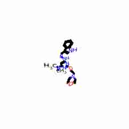 CN(C)c1cc(N/N=C\c2c[nH]c3ccccc23)nc(OCCN2CCOCC2)n1